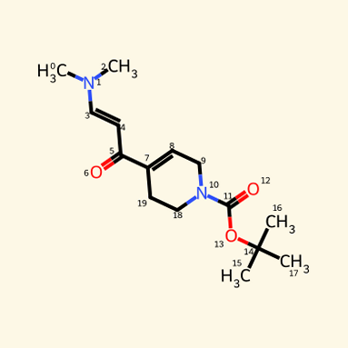 CN(C)/C=C/C(=O)C1=CCN(C(=O)OC(C)(C)C)CC1